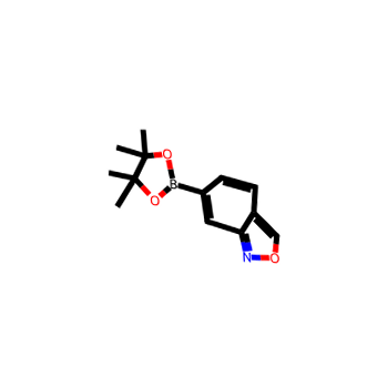 CC1(C)OB(c2ccc3conc3c2)OC1(C)C